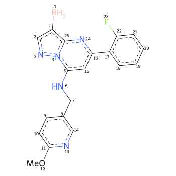 Bc1cnn2c(NCc3ccc(OC)nc3)cc(-c3ccccc3F)nc12